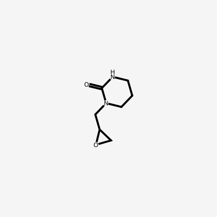 O=C1NCCCN1CC1CO1